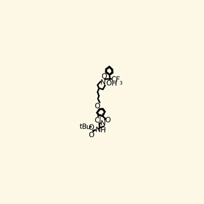 CC(C)(C)OC(=O)NC1CN(C(=O)c2ccc(OCCCCC3CCN(C(=O)C(O)(c4ccccc4)C(F)(F)F)CC3)cc2Cl)C1